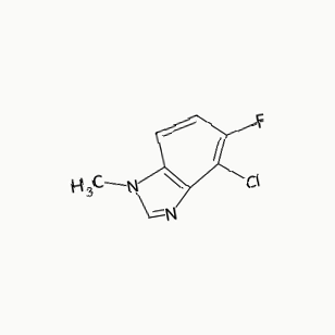 Cn1cnc2c(Cl)c(F)ccc21